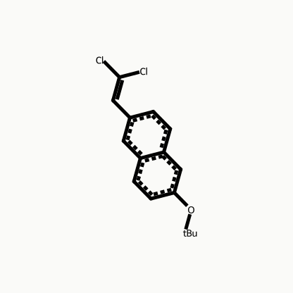 CC(C)(C)Oc1ccc2cc(C=C(Cl)Cl)ccc2c1